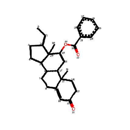 CCC1CCC2C3CCC4=CC(=O)CCC4(C)C3CC(OC(=O)c3ccccc3)C12C